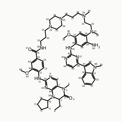 CCC1C(=O)N(C)c2cnc(Nc3ccc(C(=O)NCCCN4CCN(CCCN(C)CCN(C)c5cc(OC)c(Nc6nccc(-c7cn(C)c8ccccc78)n6)cc5N)CC4)cc3OC)nc2N1C1CCCC1